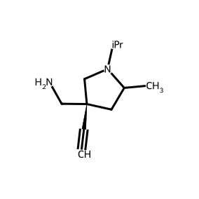 C#C[C@]1(CN)CC(C)N(C(C)C)C1